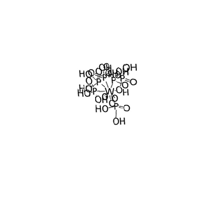 O=P(O)(O)[O][W](=[O])(=[O])([O]P(=O)(O)O)([P](=O)(O)O)([P](=O)(O)O)([P](=O)(O)O)[P](=O)(O)O